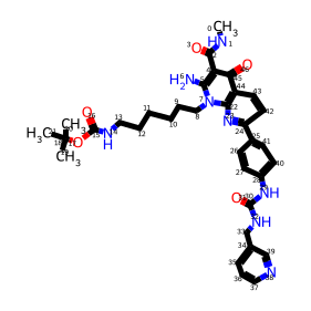 CNC(=O)c1c(N)n(CCCCCCNC(=O)OC(C)(C)C)c2nc(-c3ccc(NC(=O)NCc4cccnc4)cc3)ccc2c1=O